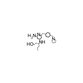 CCCC(CCO)Nc1cc(N)nc(Cc2ccc(CN3CCCC3)cc2)c1